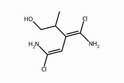 CC(CO)C(/C=C(\N)Cl)=C(/N)Cl